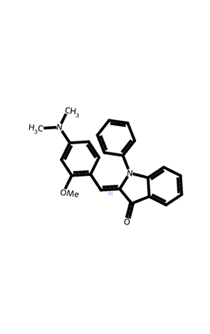 COc1cc(N(C)C)ccc1/C=C1/C(=O)c2ccccc2N1c1ccccc1